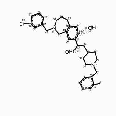 Cc1ccccc1CN1CCC(CC(C=O)c2ccc3c(c2)CN(Cc2cccc(Cl)c2)CCC3)CC1.Cl.Cl